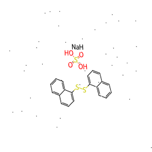 O=S(=O)(O)O.[NaH].c1ccc2c(SSc3cccc4ccccc34)cccc2c1